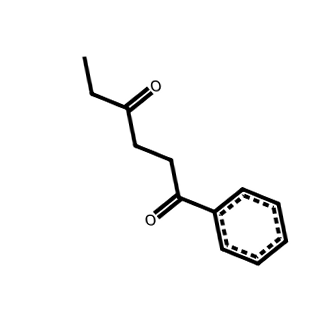 CCC(=O)CCC(=O)c1ccccc1